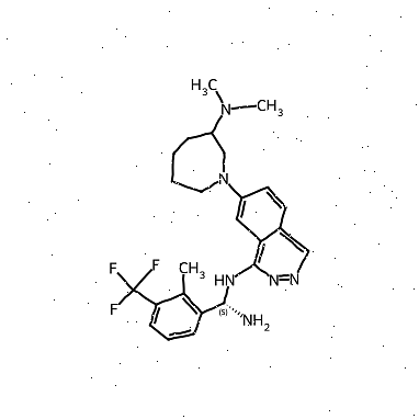 Cc1c([C@@H](N)Nc2nncc3ccc(N4CCCCC(N(C)C)C4)cc23)cccc1C(F)(F)F